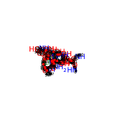 CCNCCOc1ccc(CC(=O)Oc2cc(O)c3c(c2)[C@@H](C(=O)O)NC(=O)[C@H]2NC(=O)[C@H](CC(=O)[C@@H]4NC(=O)[C@H](CC(N)=O)CC(=O)[C@H](NC(=O)[C@H](CC)CC(C)C)[C@H](O)c5ccc(c(Cl)c5)Oc5cc4cc(c5O[C@@H]4O[C@H](CO)[C@@H](O)[C@H](O)[C@H]4O[C@H]4C[C@](C)(N)[C@H](O)[C@H](C)O4)Oc4ccc(cc4Cl)[C@H]2O)c2ccc(O)c-3c2)c(OCCNCC)c1